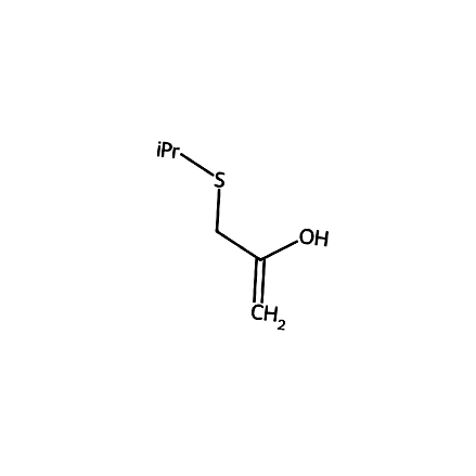 C=C(O)CSC(C)C